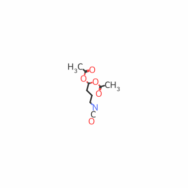 CC(=O)OC(CCCN=C=O)OC(C)=O